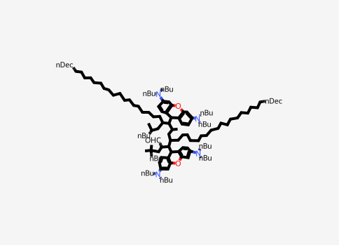 CCCCCCCCCCCCCCCCCCCCCCCCCCCCC(CC(C)CCCC)C(C(C)CC(CCCCCCCCCCCCCCCCCCCCCCCCCCCC)C(C(C=O)CC(C)(C)CCCC)C1c2ccc(N(CCCC)CCCC)cc2Oc2cc(N(CCCC)CCCC)ccc21)C1c2ccc(N(CCCC)CCCC)cc2Oc2cc(N(CCCC)CCCC)ccc21